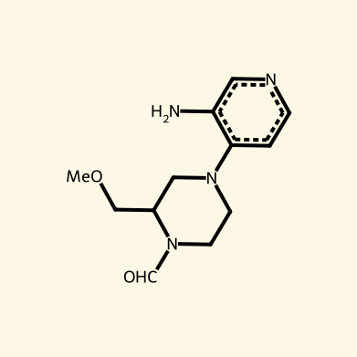 COCC1CN(c2ccncc2N)CCN1C=O